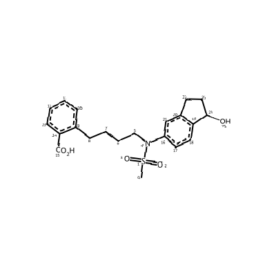 CS(=O)(=O)N(CCCCc1ccccc1C(=O)O)c1ccc2c(c1)CCC2O